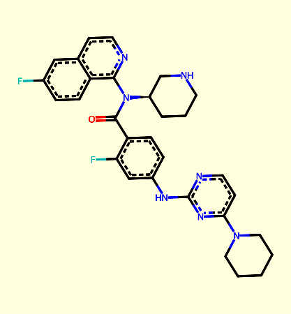 O=C(c1ccc(Nc2nccc(N3CCCCC3)n2)cc1F)N(c1nccc2cc(F)ccc12)[C@@H]1CCCNC1